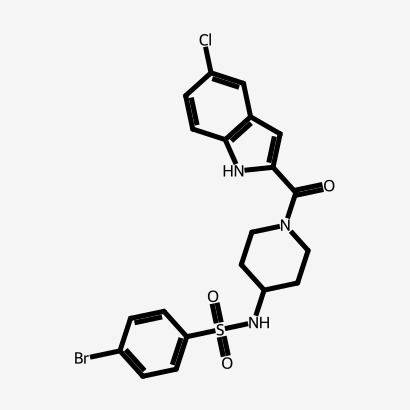 O=C(c1cc2cc(Cl)ccc2[nH]1)N1CCC(NS(=O)(=O)c2ccc(Br)cc2)CC1